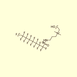 C[N+](C)(CCCNS(=O)(=O)C(F)(F)C(F)(F)C(F)(F)C(F)(F)C(F)(F)C(F)(F)C(F)(F)C(F)(F)F)CC(=O)O